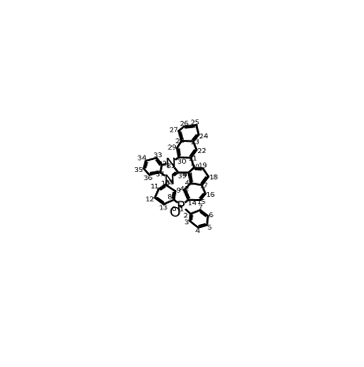 O=P(c1ccccc1)(c1ccccc1)c1ccc2ccc3c4cc5ccccc5cc4n4c5ccccc5nc4c3c2c1